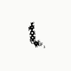 C=Cc1ccc(C2CCC(C3CCC(C(F)(F)Oc4cc(F)c(C(F)(F)F)c(F)c4)CC3)CC2)c(F)c1